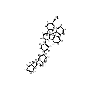 N#Cc1ccc2c(c1)C(c1ccccc1)(c1ccccc1)c1cc(-c3ccc(C4=CN5c6sc7ccccc7c6NC5N=C4)cc3)ccc1-2